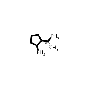 C[C@@H](P)C1CCCC1P